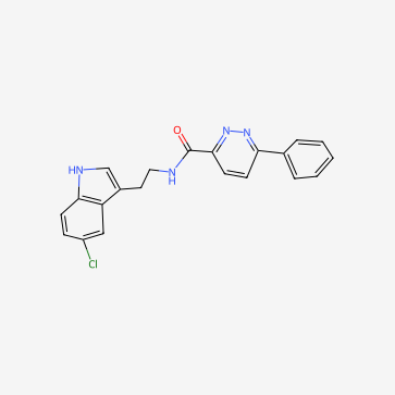 O=C(NCCc1c[nH]c2ccc(Cl)cc12)c1ccc(-c2ccccc2)nn1